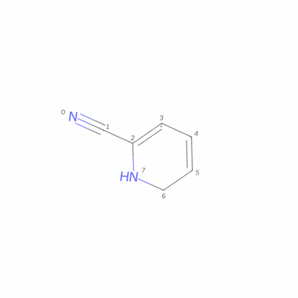 N#CC1=[C]C=CCN1